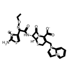 CCO/N=C(\C(=O)N[C@@H]1C(=O)N2C(C(=O)[O-])=C(Cn3cc[n+]4ccccc34)CS[C@@H]12)c1csc(N)[n+]1[O-]